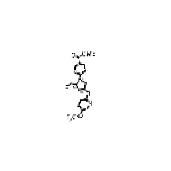 COC(=O)c1ccc(N2C[C@@H](Oc3ccc(OC(F)(F)F)cn3)C[C@H]2CF)nc1